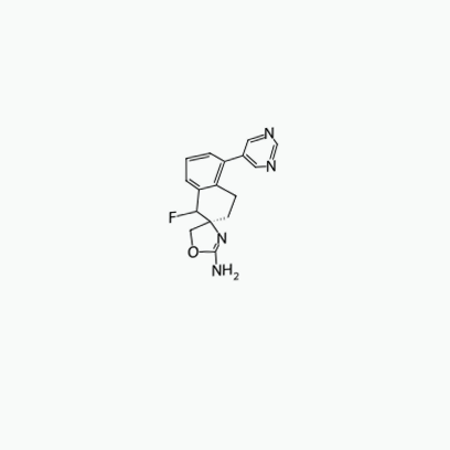 NC1=N[C@@]2(CCc3c(-c4cncnc4)cccc3C2F)CO1